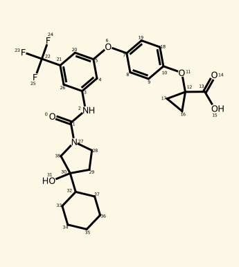 O=C(Nc1cc(Oc2ccc(OC3(C(=O)O)CC3)cc2)cc(C(F)(F)F)c1)N1CCC(O)(C2CCCCC2)C1